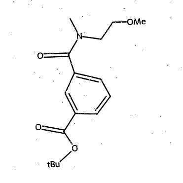 COCCN(C)C(=O)c1cccc(C(=O)OC(C)(C)C)c1